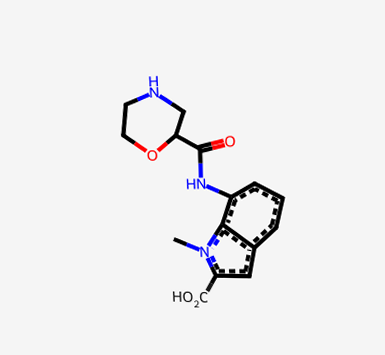 Cn1c(C(=O)O)cc2cccc(NC(=O)C3CNCCO3)c21